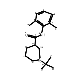 Cc1cccc(C)c1NC(=O)C1CCCN(C(C)(C)C)C1